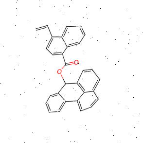 C=Cc1ccc(C(=O)OC2c3ccccc3-c3cccc4cccc2c34)c2ccccc12